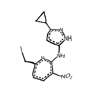 O=[N+]([O-])c1ccc(CI)nc1Nc1cc(C2CC2)n[nH]1